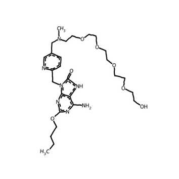 CCCCOc1nc(N)c2[nH]c(=O)n(Cc3ccc(CN(C)CCOCCOCCOCCOCCO)cn3)c2n1